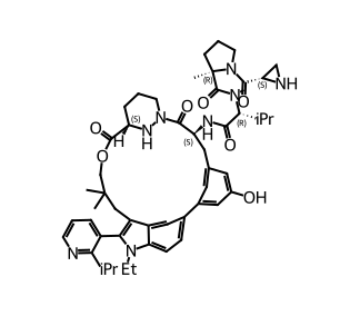 CCn1c(-c2cccnc2C(C)C)c2c3cc(ccc31)-c1cc(O)cc(c1)C[C@H](NC(=O)[C@@H](C(C)C)N(C)C(=O)[C@@]1(C)CCCN1C(=O)[C@@H]1CN1)C(=O)N1CCC[C@H](N1)C(=O)OCC(C)(C)C2